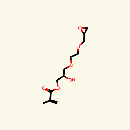 C=C(C)C(=O)OCC(O)COCCOCC1CO1